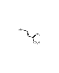 C=C(C=CCCC)C(=O)O